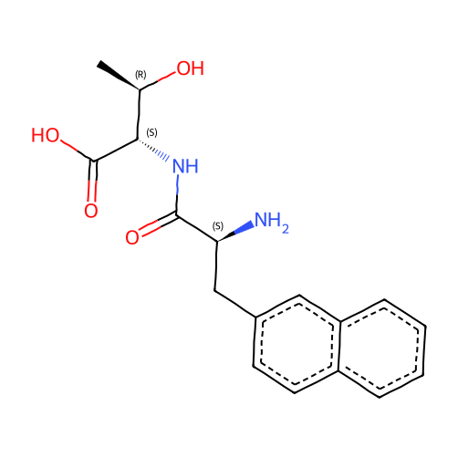 C[C@@H](O)[C@H](NC(=O)[C@@H](N)Cc1ccc2ccccc2c1)C(=O)O